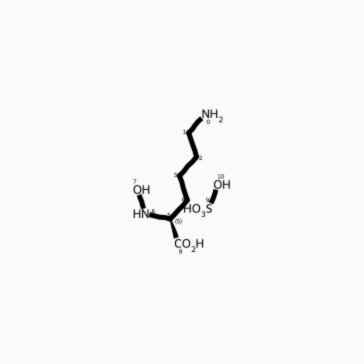 NCCCC[C@H](NO)C(=O)O.O=S(=O)(O)O